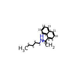 C=C(NCCCCC)c1cccc2ccccc12